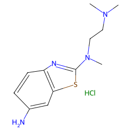 CN(C)CCN(C)c1nc2ccc(N)cc2s1.Cl